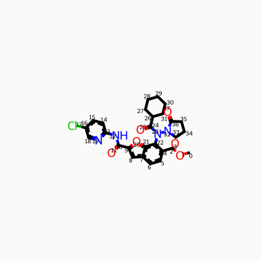 COC(=O)c1ccc2cc(C(=O)Nc3ccc(Cl)cn3)oc2c1N(C(=O)C1CCCCC1)N1CCCC1=O